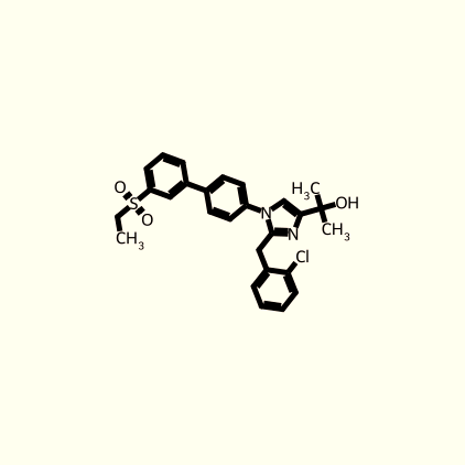 CCS(=O)(=O)c1cccc(-c2ccc(-n3cc(C(C)(C)O)nc3Cc3ccccc3Cl)cc2)c1